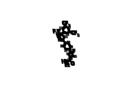 CCNC(=O)N1CC(F)(c2ccc(C3=NOC(c4cc(C(F)(F)F)cc(C(F)(F)F)c4)(C(F)(F)F)C3)cc2)C1